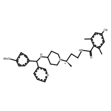 COc1ccc(C(NC2CCN([C@H](C)CCNC(=O)c3c(C)cc(C#N)cc3C)CC2)c2cccnc2)cc1